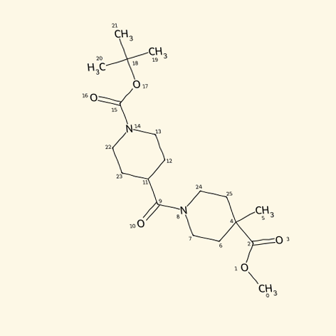 COC(=O)C1(C)CCN(C(=O)C2CCN(C(=O)OC(C)(C)C)CC2)CC1